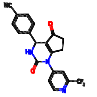 N#Cc1ccc(C2NC(=O)N(c3ccnc(C(F)(F)F)c3)C3=C2C(=O)CC3)cc1